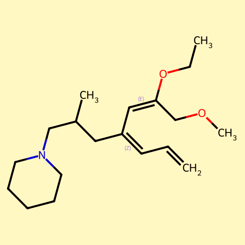 C=C/C=C(\C=C(/COC)OCC)CC(C)CN1CCCCC1